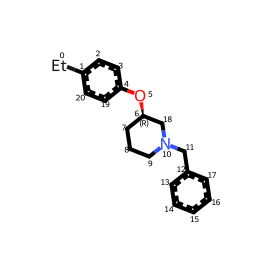 CCc1ccc(O[C@@H]2CCCN(Cc3ccccc3)C2)cc1